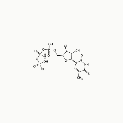 Cc1cn([C@H]2O[C@@H](COP(=O)(O)OP(=O)(O)OP(=O)(O)O)[C@@H](O)C2C#N)c(=S)[nH]c1=S